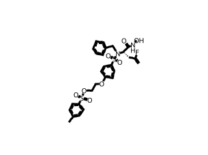 C=C(F)C[C@@H](C(=O)NO)N(Cc1ccccc1)S(=O)(=O)c1ccc(OCCOS(=O)(=O)c2ccc(C)cc2)cc1